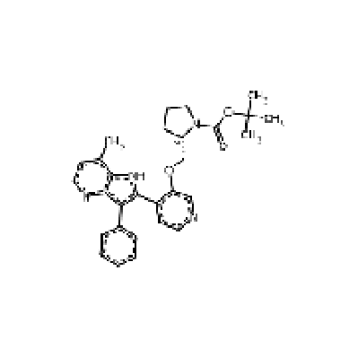 Cc1ccnc2c(-c3ccccc3)c(-c3ccncc3OC[C@@H]3CCCN3C(=O)OC(C)(C)C)[nH]c12